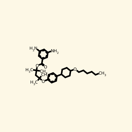 CCCCCCOC1CCC(c2ccc(OC(C)(C)CC(C)(C)OC(=O)c3cc(N)cc(N)c3)cc2)CC1